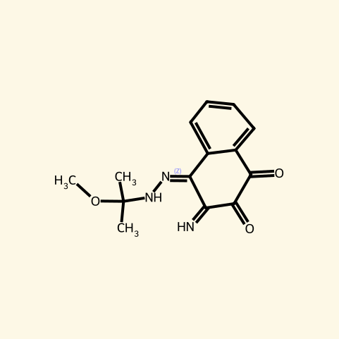 COC(C)(C)N/N=c1\c(=N)c(=O)c(=O)c2ccccc12